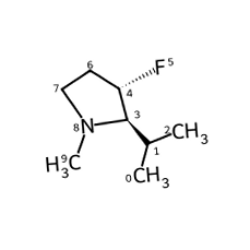 CC(C)[C@@H]1[C@@H](F)CCN1C